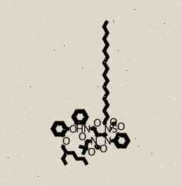 CCCCCCCCCCCCCCCCCCN1C(C(C(=O)Nc2ccccc2Oc2ccccc2OCC(CC)CCCC)N2C(=O)OC(C)(C)C2=O)=Nc2ccccc2S1(=O)=O